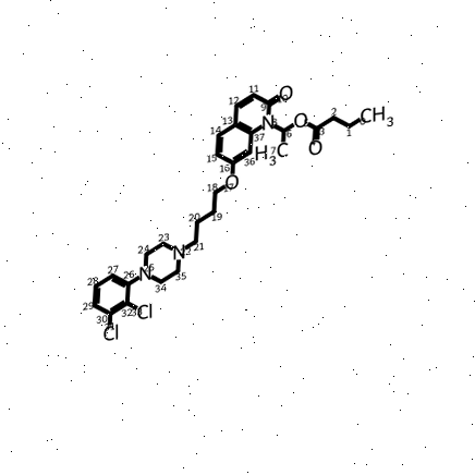 CCCC(=O)OC(C)n1c(=O)ccc2ccc(OCCCCN3CCN(c4cccc(Cl)c4Cl)CC3)cc21